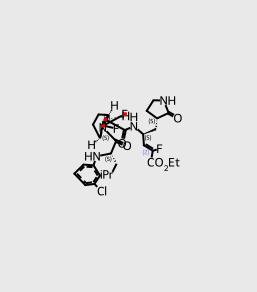 CCOC(=O)/C(F)=C/[C@H](C[C@@H]1CCNC1=O)NC(=O)[C@@H]1[C@@H]2CC[C@@H](CC2(F)F)N1C(=O)[C@H](CC(C)C)Nc1cccc(Cl)c1